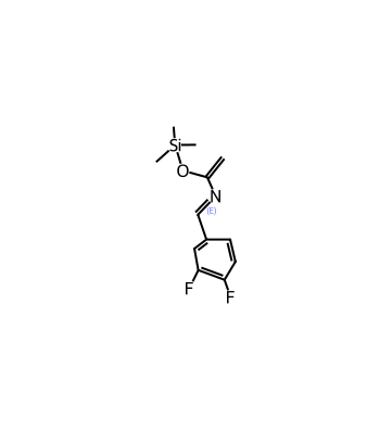 C=C(/N=C/c1ccc(F)c(F)c1)O[Si](C)(C)C